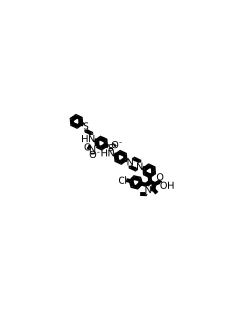 CCn1c(C)c(C(=O)O)c(-c2cccc(N3CCN(c4ccc(N[S+]([O-])c5ccc(NCCSc6ccccc6)c([N+](=O)[O-])c5)cc4)CC3)c2)c1-c1ccc(Cl)cc1